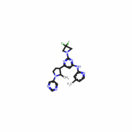 CC1C(c2cc(Nc3cc(C(F)(F)F)ccn3)nc(N3CC(F)(F)C3)n2)CCN1c1cncnc1